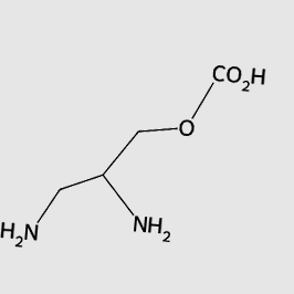 NCC(N)COC(=O)O